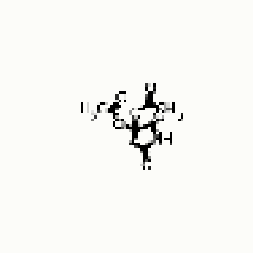 CC(=O)OC1(OC(C)=O)CC(=O)NC1=O